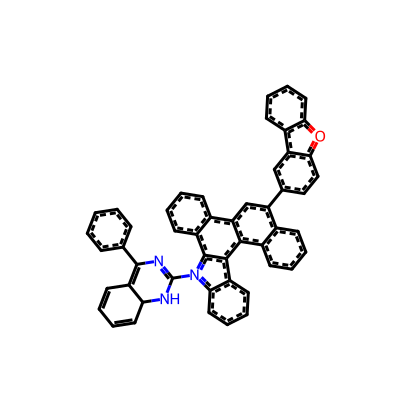 C1=CC2=C(c3ccccc3)N=C(n3c4ccccc4c4c5c6ccccc6c(-c6ccc7oc8ccccc8c7c6)cc5c5ccccc5c43)NC2C=C1